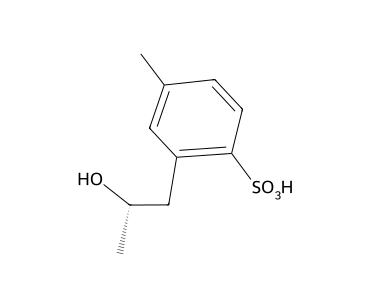 Cc1ccc(S(=O)(=O)O)c(C[C@H](C)O)c1